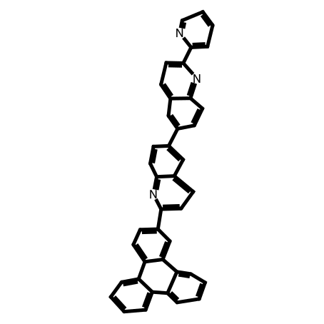 c1ccc(-c2ccc3cc(-c4ccc5nc(-c6ccc7c8ccccc8c8ccccc8c7c6)ccc5c4)ccc3n2)nc1